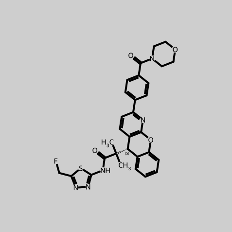 CC(C)(C(=O)Nc1nnc(CF)s1)[C@H]1c2ccccc2Oc2nc(-c3ccc(C(=O)N4CCOCC4)cc3)ccc21